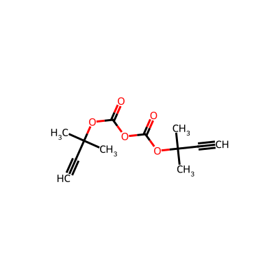 C#CC(C)(C)OC(=O)OC(=O)OC(C)(C)C#C